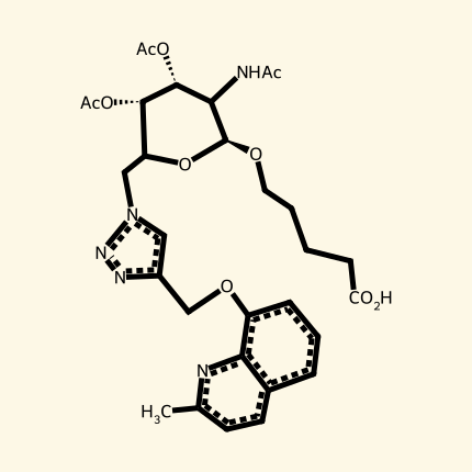 CC(=O)NC1[C@@H](OCCCCC(=O)O)OC(Cn2cc(COc3cccc4ccc(C)nc34)nn2)[C@H](OC(C)=O)[C@@H]1OC(C)=O